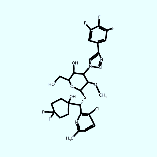 COC1C(S[C@H](c2nc(C)ccc2Cl)C2(O)CCC(F)(F)CC2)OC(CO)C(O)C1n1cc(-c2cc(F)c(F)c(F)c2)nn1